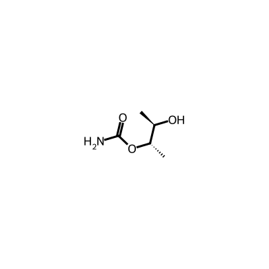 C[C@H](OC(N)=O)[C@@H](C)O